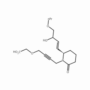 CCCOCC(O)/C=C/[C@H]1CCCC(=O)N1CC#CCOCC(=O)O